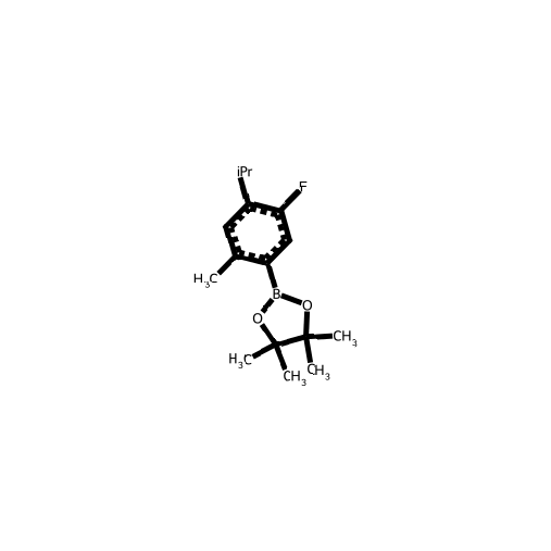 Cc1cc(C(C)C)c(F)cc1B1OC(C)(C)C(C)(C)O1